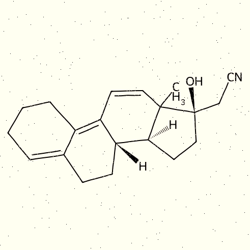 CC12C=CC3=C4CCCC=C4CC[C@H]3[C@@H]1CC[C@@]2(O)CC#N